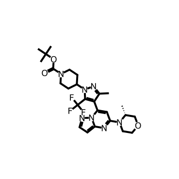 Cc1nn(C2CCN(C(=O)OC(C)(C)C)CC2)c(C(F)(F)F)c1-c1cc(N2CCOC[C@H]2C)nc2ccnn12